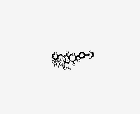 COc1cccnc1CNC(=O)C1(C)COc2c(oc3cc(-c4ncco4)ccc23)C(=O)N1CC(=O)N(C)C